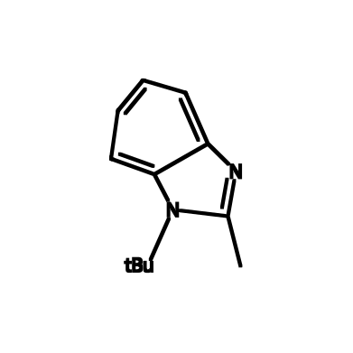 Cc1nc2ccccc2n1C(C)(C)C